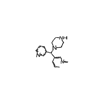 C=N/C=C(\C=C/C)C(c1cccnc1)N1CCNCC1